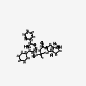 CC(C)(C)[C@H](NC(=O)[C@@H](NC(=O)c1ccccn1)C1CCCCC1)C(=O)N1C[C@@H]2CCN[C@@H]2C1